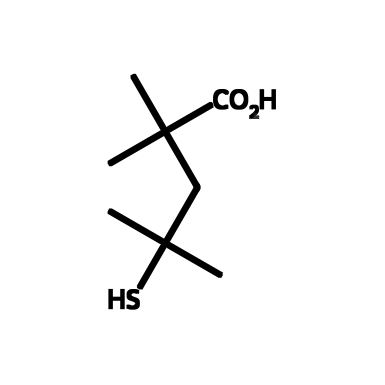 CC(C)(S)CC(C)(C)C(=O)O